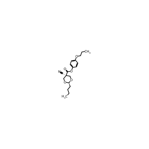 CCCC[C@H]1OC[C@@](C#N)(C(=O)Oc2ccc(OCCC)cc2)CO1